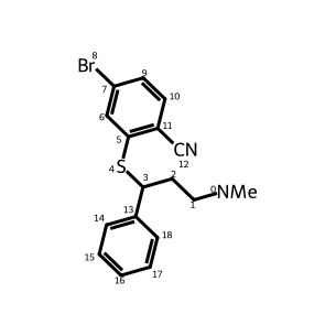 CNCCC(Sc1cc(Br)ccc1C#N)c1ccccc1